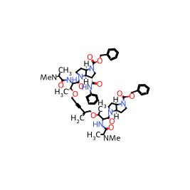 C=C(C#CCO[C@H](C)C(NC(=O)[C@H](C)NC)C(=O)N1CC[C@@H]2[C@H]1[C@@H](C(=O)Nc1ccccc1)CN2C(=O)OCc1ccccc1)COC(C)C(NC(=O)[C@H](C)NC)C(=O)N1CC[C@@H]2[C@H]1CCN2C(=O)OCc1ccccc1